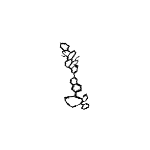 c1ccc(-c2ccccccc(-c3ccc4cc(-c5ccc6sc7c(ccc8c7ccc7c9ccccc9sc78)c6c5)ccc4c3)c3ccccc23)cc1